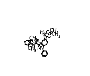 CC(C)(C)OC(=O)N1CCc2c(c(C(=O)NC3C4(C)CCC(C4)C3(C)C)nn2-c2ccccc2)C1